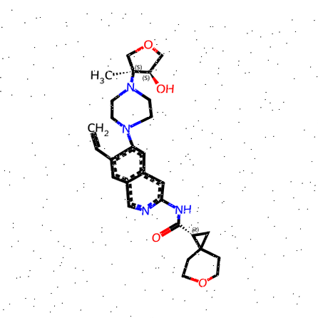 C=Cc1cc2cnc(NC(=O)[C@@H]3CC34CCOCC4)cc2cc1N1CCN([C@@]2(C)COC[C@H]2O)CC1